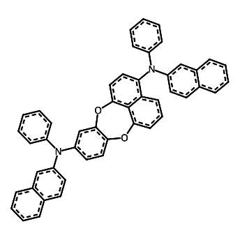 c1ccc(N(c2ccc3c(c2)Oc2ccc(N(c4ccccc4)c4ccc5ccccc5c4)c4cccc(c24)O3)c2ccc3ccccc3c2)cc1